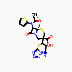 CC(=O)N(c1cccs1)C1C(=O)N2CC(C(=O)O)(C(CC#N)Sc3nnn[nH]3)CS[C@H]12